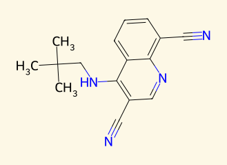 CC(C)(C)CNc1c(C#N)cnc2c(C#N)cccc12